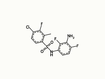 Cc1c(S(=O)(=O)Nc2ccc(F)c(N)c2F)ccc(Cl)c1F